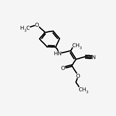 CCOC(=O)C(C#N)=C(C)Nc1ccc(OC)cc1